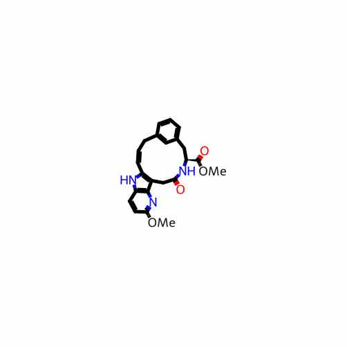 COC(=O)[C@@H]1Cc2cccc(c2)CC=Cc2[nH]c3ccc(OC)nc3c2CC(=O)N1